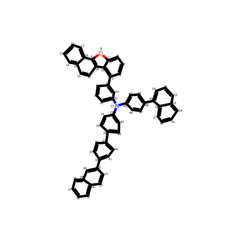 c1cc(-c2cccc3oc4c5ccccc5ccc4c23)cc(N(c2ccc(-c3ccc(-c4ccc5ccccc5c4)cc3)cc2)c2ccc(-c3cccc4ccccc34)cc2)c1